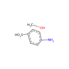 CO.Nc1ccc(S(=O)(=O)O)cc1